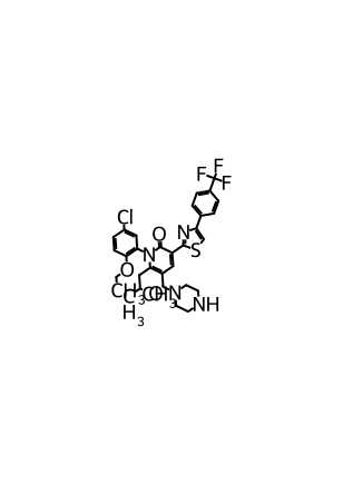 CCOc1ccc(Cl)cc1-n1c(CC(C)C)c(C(=O)N2CCNCC2)cc(-c2nc(-c3ccc(C(F)(F)F)cc3)cs2)c1=O